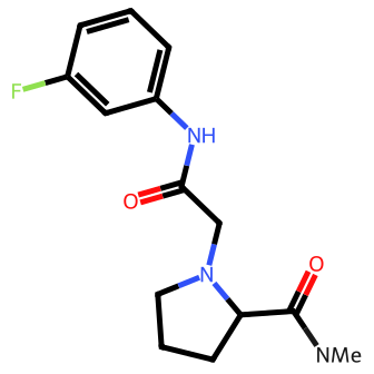 CNC(=O)C1CCCN1CC(=O)Nc1cccc(F)c1